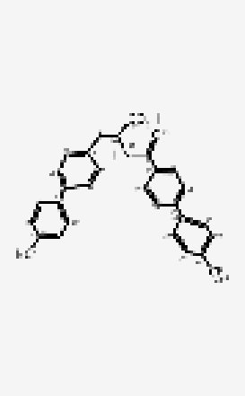 N#Cc1ccc(-c2ccc(C[C@H](NC(=O)c3ccc(-c4ccc(C(F)(F)F)cc4)cc3)C(=O)O)cc2)cc1